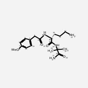 COc1ccc(CC(=O)N[C@H](CCCN)C(=O)NC(C)(C)C(N)=O)cc1